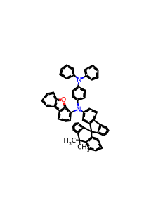 CC1(C)c2ccccc2C2(c3ccccc3-c3ccc(N(c4ccc(N(c5ccccc5)c5ccccc5)cc4)c4cccc5c4oc4ccccc45)cc32)c2ccccc21